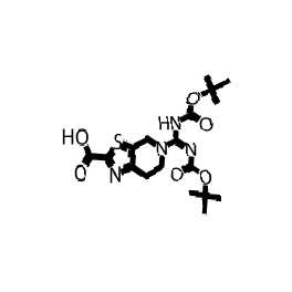 CC(C)(C)OC(=O)/N=C(/NC(=O)OC(C)(C)C)N1CCc2nc(C(=O)O)sc2C1